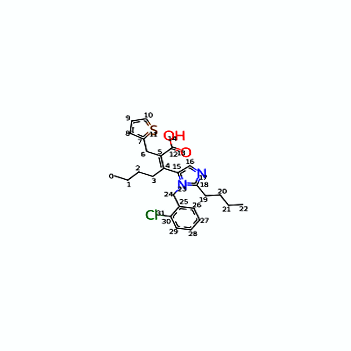 CCCC/C(=C(\Cc1cccs1)C(=O)O)c1cnc(CCCC)n1Cc1ccccc1Cl